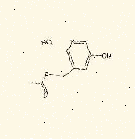 CC(=O)OCc1cncc(O)c1.Cl